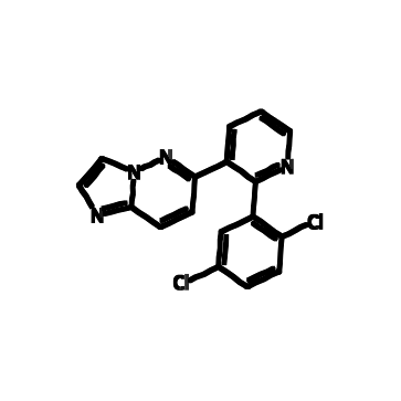 Clc1ccc(Cl)c(-c2ncccc2-c2ccc3nccn3n2)c1